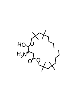 CCCCC(C)(C)CC(C)(C)COC(=O)C[C@@H](N)C(O)OCC(C)(C)CC(C)(C)CCCC